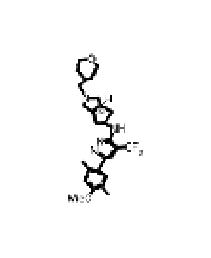 COc1cc(C)c(-c2cc(C(F)(F)F)c(NC3CC4CN(CC5CCOCC5)C[C@H]4C3)nn2)cc1C